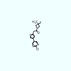 CC1(F)CN(C(=O)Cc2cc(-c3cnc(Cl)nc3)cs2)C1